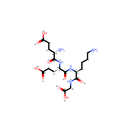 NCCCC[C@H](NC(=O)[C@H](CCC(=O)O)NC(=O)[C@@H](N)CCC(=O)O)C(=O)NCC(=O)O